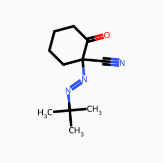 CC(C)(C)N=NC1(C#N)CCCCC1=O